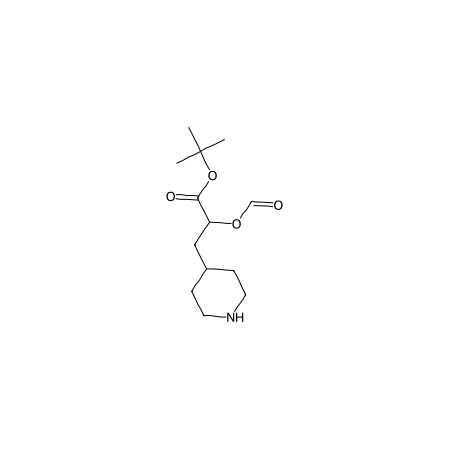 CC(C)(C)OC(=O)C(CC1CCNCC1)OC=O